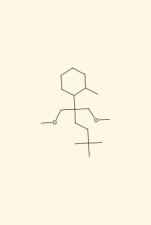 COCC(CCC(C)(C)C)(COC)C1CCCCC1C